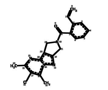 C=Cc1ccccc1C(=O)N1Cc2nn3c(C)c(Cl)c(C)nc3c2C1